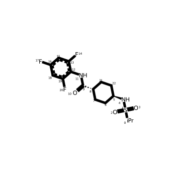 CC(C)S(=O)(=O)N[C@H]1CC[C@H](C(=O)Nc2c(F)cc(F)cc2F)CC1